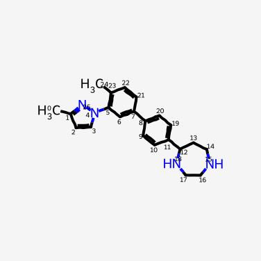 Cc1ccn(-c2cc(-c3ccc(C4CCNCCN4)cc3)ccc2C)n1